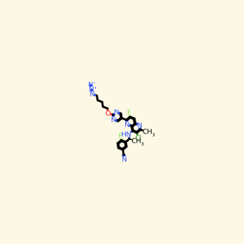 Cc1nc2cc(F)c(-c3cnc(OCCCCCN=[N+]=[N-])nc3)nc2c(N[C@@H](C)c2cc(C#N)ccc2F)c1Cl